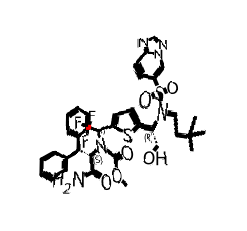 COC(=O)N([C@H](C(N)=O)C(c1ccccc1)c1ccccc1)[C@H](c1ccc([C@@H](CO)N(CCC(C)(C)C)S(=O)(=O)c2ccc3ncnn3c2)s1)C(F)(F)F